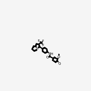 COc1ccc(C(=O)Nc2ccc(-c3c(C(F)(F)F)cc4ccccn34)cc2)cc1OC